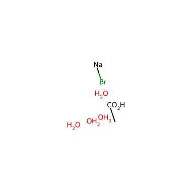 CC(=O)O.O.O.O.O.[Na][Br]